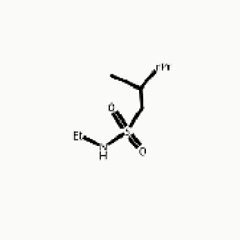 CCCC(C)CS(=O)(=O)NCC